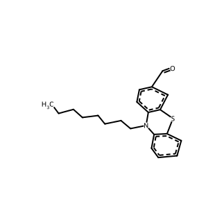 CCCCCCCCN1c2ccccc2Sc2cc(C=O)ccc21